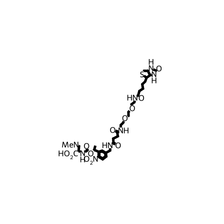 CNCC(NC(=O)OC(C)c1cc(CNC(=O)CCC(=O)NCCOCCOCCNC(=O)CCCCC2SCC3NC(=O)NC32)ccc1[N+](=O)[O-])C(=O)O